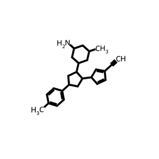 C#CC1=CC(C2CC(c3ccc(C)cc3)CC2C2CC(C)CC(N)C2)C=C1